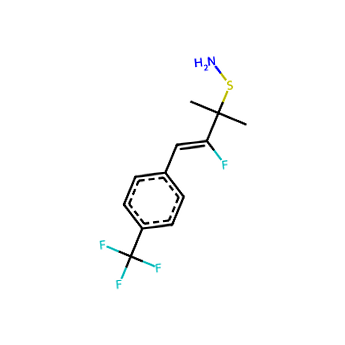 CC(C)(SN)C(F)=Cc1ccc(C(F)(F)F)cc1